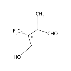 CC(C=O)[C@H](CO)C(F)(F)F